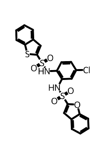 O=S(=O)(Nc1cc(Cl)ccc1NS(=O)(=O)c1cc2ccccc2s1)c1cc2ccccc2o1